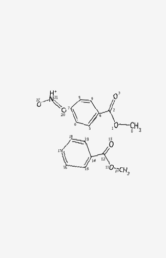 COC(=O)c1ccccc1.COC(=O)c1ccccc1.O=[NH+][O-]